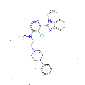 CSn1c(-c2nccc(N(C)CCN3CCC(c4ccccc4)CC3)c2Cl)nc2ccccc21